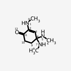 CNC1=CC(NC)(NC)CCC1=O